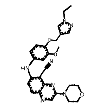 CCn1cc(COc2ccc(Nc3ccc4ncc(N5CCOCC5)nc4c3C#N)cc2OC)cn1